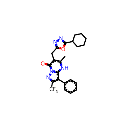 Cc1[nH]c2c(-c3ccccc3)c(C(F)(F)F)nn2c(=O)c1Cc1nnc(C2CCCCC2)o1